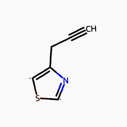 C#CCc1[c]s[c]n1